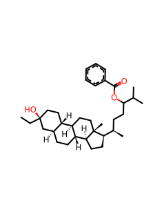 CC[C@]1(O)CC[C@H]2[C@@H](CC[C@@H]3[C@@H]2CC[C@]2(C)[C@@H]([C@H](C)CCC(OC(=O)c4ccccc4)C(C)C)CC[C@@H]32)C1